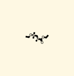 CCOC(=O)N(C)C[Si](C)(C)OCC